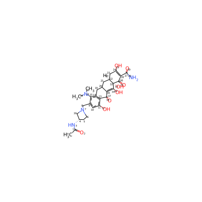 CC(=O)N[C@H]1CCN(Cc2cc(O)c3c(c2N(C)C)CC2C[C@H]4CC(O)=C(C(N)=O)C(=O)[C@@]4(O)C(O)=C2C3=O)C1